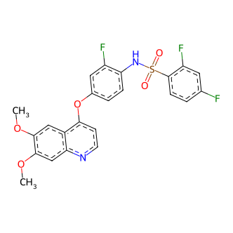 COc1cc2nccc(Oc3ccc(NS(=O)(=O)c4ccc(F)cc4F)c(F)c3)c2cc1OC